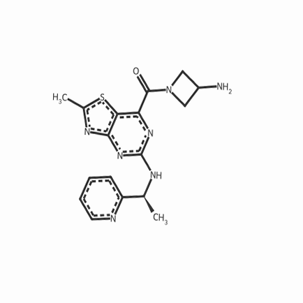 Cc1nc2nc(N[C@@H](C)c3ccccn3)nc(C(=O)N3CC(N)C3)c2s1